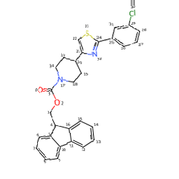 O=C(OCC1c2ccccc2-c2ccccc21)N1CCC(c2csc(-c3cccc(Cl)c3)n2)CC1